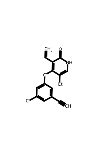 C#Cc1cc(Cl)cc(Oc2c(CC)c[nH]c(=O)c2C=C)c1